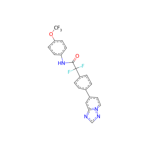 O=C(Nc1ccc(OC(F)(F)F)cc1)C(F)(F)c1ccc(-c2ccn3ncnc3c2)cc1